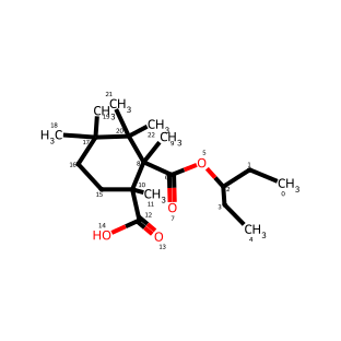 CCC(CC)OC(=O)C1(C)C(C)(C(=O)O)CCC(C)(C)C1(C)C